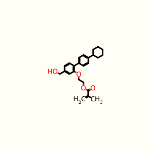 C=C(C)C(=O)OCCOc1cc(CO)ccc1-c1ccc(C2CCCCC2)cc1